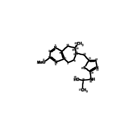 COc1cnc2c(n1)CCN(Cc1cnc(NC(C)O)s1)[C@H](C)C2